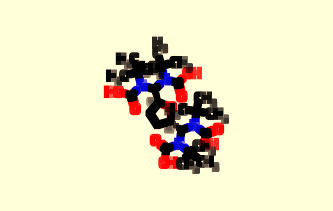 CC(C)(C)N(C(=O)O)C([C@@H]1CC[C@@H](C(N(C(=O)O)C(C)(C)C)N(C(=O)O)C(C)(C)C)O1)N(C(=O)O)C(C)(C)C